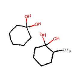 CC1CCCCC1(O)O.OC1(O)CCCCC1